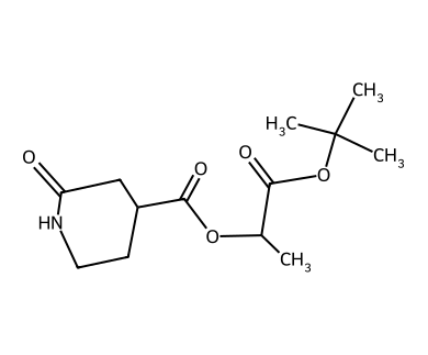 CC(OC(=O)C1CCNC(=O)C1)C(=O)OC(C)(C)C